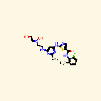 Cc1nc(NCCN(O)CCO)cc(Nc2ncc(C(=O)Nc3c(C)cccc3Cl)s2)n1